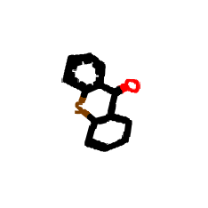 O=C1c2ccccc2SC2C=CCCC12